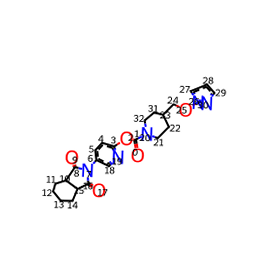 O=C(Oc1ccc(N2C(=O)C3CCCCC3C2=O)cn1)N1CCC(COn2cccn2)CC1